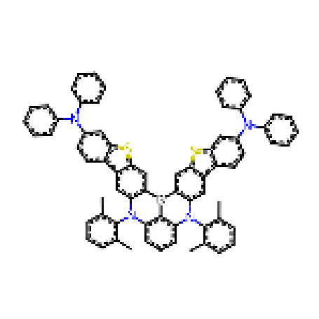 Cc1cccc(C)c1N1c2cc3c(cc2B2c4cc5sc6cc(N(c7ccccc7)c7ccccc7)ccc6c5cc4N(c4c(C)cccc4C)c4cccc1c42)sc1cc(N(c2ccccc2)c2ccccc2)ccc13